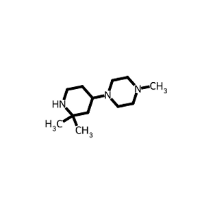 CN1CCN(C2CCNC(C)(C)C2)CC1